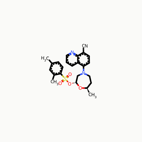 Cc1ccc(S(=O)(=O)O[C@@H]2CN(c3ccc(C#N)c4ncccc34)CC[C@@H](C)O2)c(C)c1